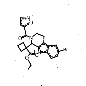 CCOC(=O)C1(C2c3[nH]c4ccc(Br)cc4c3CCN2C(=O)c2ccno2)CCC1